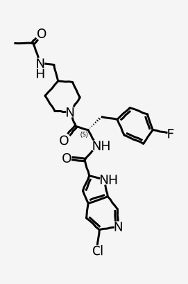 CC(=O)NCC1CCN(C(=O)[C@H](Cc2ccc(F)cc2)NC(=O)c2cc3cc(Cl)ncc3[nH]2)CC1